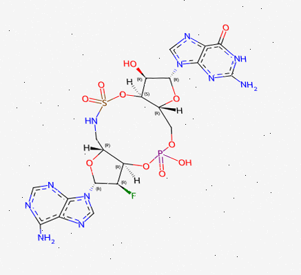 Nc1nc2c(ncn2[C@@H]2O[C@@H]3COP(=O)(O)O[C@H]4[C@@H](F)[C@H](n5cnc6c(N)ncnc65)O[C@@H]4CNS(=O)(=O)O[C@H]3[C@H]2O)c(=O)[nH]1